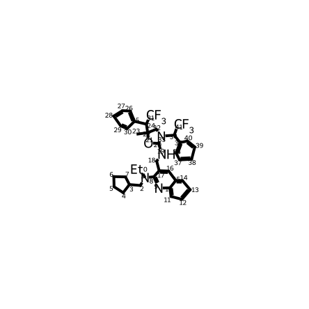 CCN(CC1CCCC1)c1nc2ccccc2cc1CNC1OC(C)(C(c2ccccc2)C(F)(F)F)CN1C(c1ccccc1)C(F)(F)F